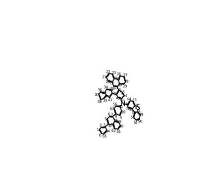 c1ccc(-c2ccc(-c3ccc(N(c4ccc(-c5cc6ccccc6c6ccccc56)c(-c5ccc6ccccc6c5)c4)c4ccc5sc6ccccc6c5c4)cc3)c3ccccc23)cc1